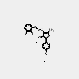 NC1=C(OSCc2cccc(F)c2F)C(=O)C(c2ccc(Cl)cc2)O1